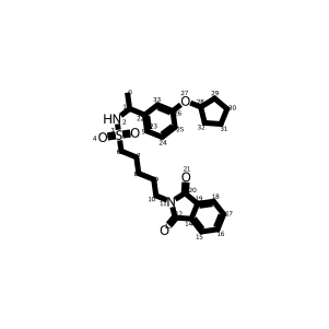 CC(NS(=O)(=O)CCCCCN1C(=O)c2ccccc2C1=O)c1cccc(OC2CCCC2)c1